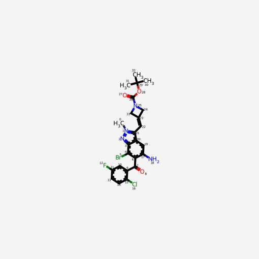 Cn1nc2c(Br)c(C(=O)c3cc(F)ccc3Cl)c(N)cc2c1C=C1CN(C(=O)OC(C)(C)C)C1